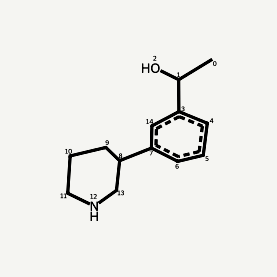 CC(O)c1cccc(C2CCCNC2)c1